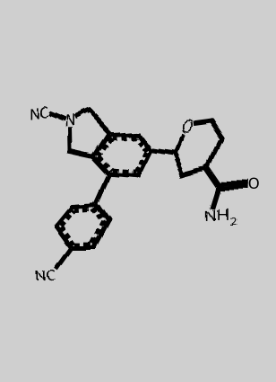 N#Cc1ccc(-c2cc(C3CC(C(N)=O)CCO3)cc3c2CN(C#N)C3)cc1